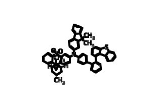 CC1(C)c2ccccc2-c2ccc(N(c3ccc(-c4ccccc4-c4cccc5sc6ccccc6c45)cc3)c3ccc4c(c3)S(=O)(=O)c3ccccc3C43[C@H]4C[C@@H](C)C[C@@H]3C[C@@H](C)C4)cc21